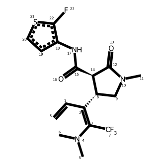 C=C/C(=C(\N(C)C)C(F)(F)F)[C@H]1CN(C)C(=O)[C@@H]1C(=O)Nc1ccsc1F